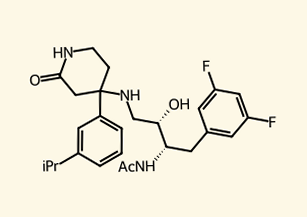 CC(=O)N[C@@H](Cc1cc(F)cc(F)c1)[C@@H](O)CNC1(c2cccc(C(C)C)c2)CCNC(=O)C1